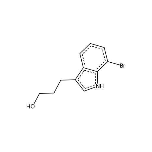 OCCCc1c[nH]c2c(Br)cccc12